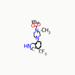 C[C@@H]1CN(c2ccc(C(F)(F)F)c3c2CNCC3)CCN1C(=O)OC(C)(C)C